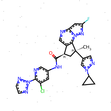 C[C@]1(c2cnn(C3CC3)c2)C[C@@H](C(=O)Nc2cnc(-n3nccn3)c(Cl)c2)c2cnc3cc(F)nn3c21